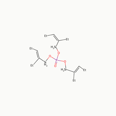 CCC=C(CC)[SiH2]OP(=O)(O[SiH2]C(=CCC)CC)O[SiH2]C(=CCC)CC